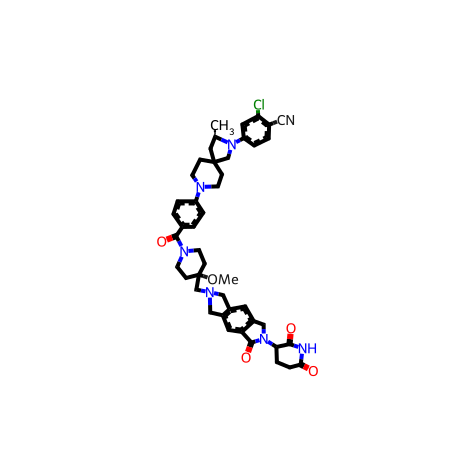 COC1(CN2Cc3cc4c(cc3C2)C(=O)N(C2CCC(=O)NC2=O)C4)CCN(C(=O)c2ccc(N3CCC4(CC3)C[C@H](C)N(c3ccc(C#N)c(Cl)c3)C4)cc2)CC1